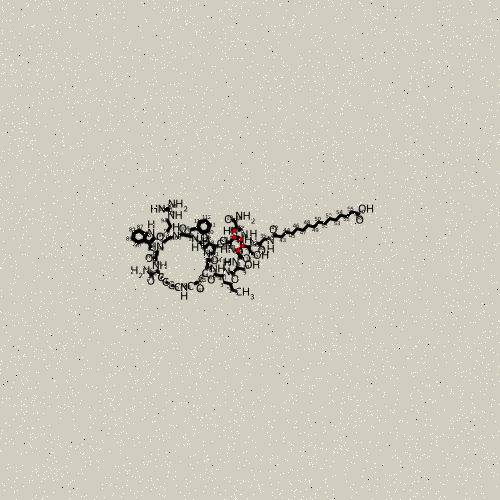 CCCC[C@H](NC(=O)C(CO)NC(=O)[C@H](Cc1c[nH]cn1)NC(=O)[C@H](CCC(N)=O)NC(=O)C(CO)NC(=O)CNC(=O)CCCCCCCCCCCCCCC(=O)O)C(=O)N[C@H]1CCC(=O)CNCCCC[C@@H](C(N)=O)NC(=O)[C@H](Cc2c[nH]c3ccccc23)NC(=O)[C@H](CCCNC(=N)N)NC(=O)[C@@H](Cc2ccccc2)NC(=O)[C@@H]2C[C@@H](O)CN2C1=O